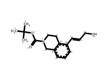 CC(C)(C)OC(=O)N1CCc2c(/C=C/CO)cccc2C1